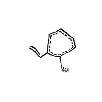 C=Cc1ccccc1SC